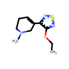 CCOc1nsnc1C1=CCCN(C)C1